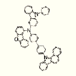 C1=C(c2ccc(N(c3ccc4c(c3)c3ccccc3n4-c3ccccc3)c3cccc4oc5ccccc5c34)cc2)CCC(n2c3ccccc3c3ccc4ccccc4c32)=C1